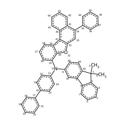 CC1(C)c2ccccc2-c2cc(N(c3ccc(-c4ccccc4)cc3)c3cccc4c3oc3cc(-c5ccccc5)c5ccccc5c34)ccc21